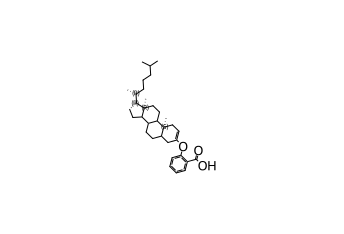 CC(C)CCC[C@@H](C)[C@H]1CCC2C3CCC4CC(Oc5ccccc5C(=O)O)=CC[C@]4(C)C3CC[C@@]21C